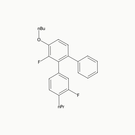 CCCCOc1ccc(-c2ccccc2)c(-c2ccc(CCC)c(F)c2)c1F